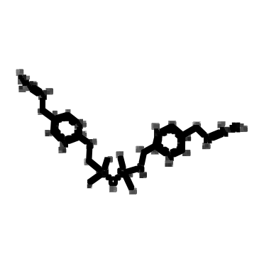 C[Si](C)(CSc1ncc(CN=[N+]=[N-])cn1)O[Si](C)(C)SCc1ncc(CN=[N+]=[N-])cn1